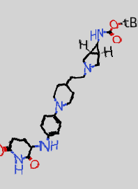 CC(C)(C)OC(=O)NC1[C@H]2CN(CCC3CCN(c4ccc(NC5CCC(=O)NC5=O)cc4)CC3)C[C@@H]12